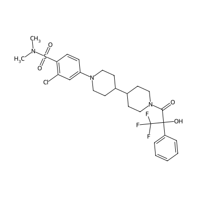 CN(C)S(=O)(=O)c1ccc(N2CCC(C3CCN(C(=O)C(O)(c4ccccc4)C(F)(F)F)CC3)CC2)cc1Cl